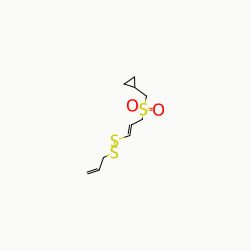 C=CCSSC=CCS(=O)(=O)CC1CC1